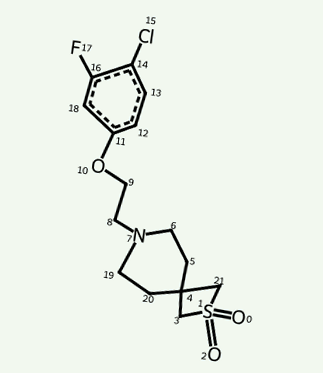 O=S1(=O)CC2(CCN(CCOc3ccc(Cl)c(F)c3)CC2)C1